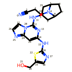 N#CCCN1C2CCC1CC(Nc1nc(Nc3ncc(CO)s3)cc3nccn13)C2